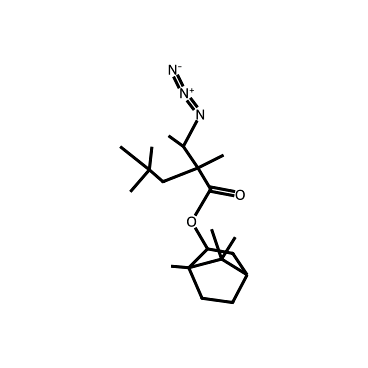 CC(N=[N+]=[N-])C(C)(CC(C)(C)C)C(=O)OC1CC2CCC1(C)C2(C)C